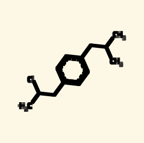 [CH2]C(Cl)Cc1ccc(CC(C)C)cc1